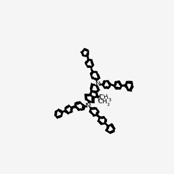 CC1(C)c2cc(N(c3ccc(-c4ccc(-c5ccccc5)cc4)cc3)c3ccc(-c4ccc(-c5ccccc5)cc4)cc3)ccc2-c2ccc(N(c3ccc(-c4ccc(-c5ccccc5)cc4)cc3)c3ccc(-c4ccc(-c5ccccc5)cc4)cc3)cc21